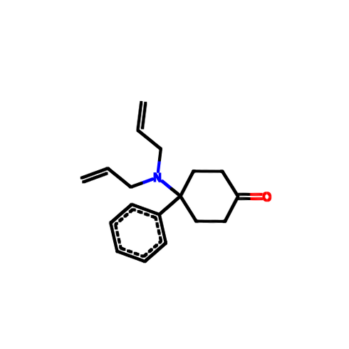 C=CCN(CC=C)C1(c2ccccc2)CCC(=O)CC1